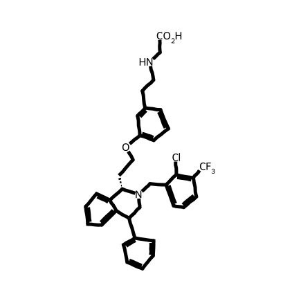 O=C(O)CNCCc1cccc(OCC[C@H]2c3ccccc3C(c3ccccc3)CN2Cc2cccc(C(F)(F)F)c2Cl)c1